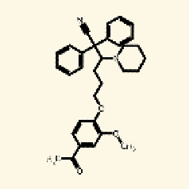 COc1cc(C(C)=O)ccc1OCCCC(N1CCCCC1)C(C#N)(c1ccccc1)c1ccccc1